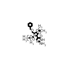 CC(C)(C)OC(=O)N1C(COCc2ccccc2)C2OC(C)(C)OC2C1c1cnc(N)[nH]c1=O